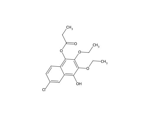 CCOc1c(OCC)c(OC(=O)CC)c2ccc(Cl)cc2c1O